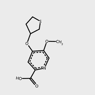 COc1cnc(C(=O)O)cc1OC1CCSC1